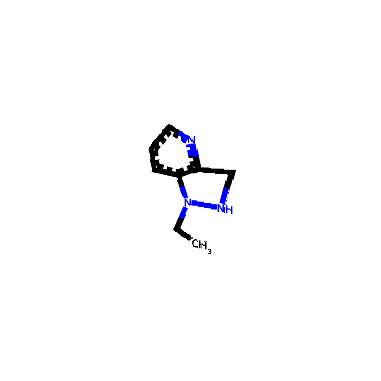 CCN1NCc2ncccc21